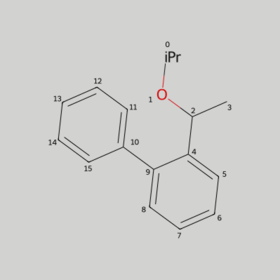 CC(C)OC(C)c1ccccc1-c1ccccc1